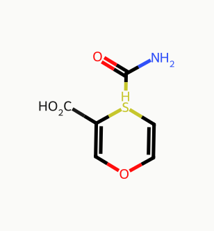 NC(=O)[SH]1C=COC=C1C(=O)O